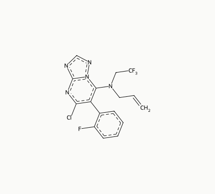 C=CCN(CC(F)(F)F)c1c(-c2ccccc2F)c(Cl)nc2ncnn12